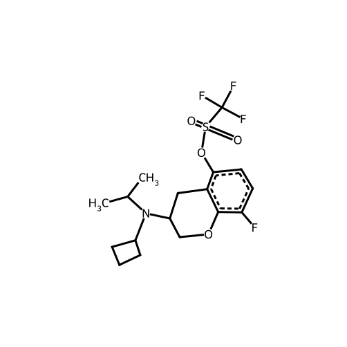 CC(C)N(C1CCC1)C1COc2c(F)ccc(OS(=O)(=O)C(F)(F)F)c2C1